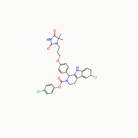 CC1(C)C(=O)NC(=O)N1CCCOc1ccc(C2c3[nH]c4c(c3CCN2C(=O)Oc2ccc(Cl)cc2)=CC(Cl)CC=4)cc1